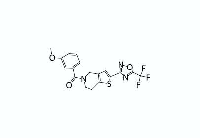 COc1cccc(C(=O)N2CCc3sc(-c4noc(C(F)(F)F)n4)cc3C2)c1